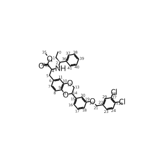 CC[C@H](NC(Cc1ccc2c(c1)OCC(c1cccc(OCc3ccc(Cl)c(Cl)c3)c1)O2)C(=O)OC)c1ccccc1